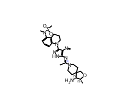 C=Nc1c(N2CCCc3c2cccc3N(C)S(C)(=O)=O)n[nH]c1/N=C(\C)N1CCC2(CC1)CO[C@@H](C)[C@H]2N